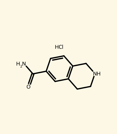 Cl.NC(=O)c1ccc2c(c1)CCNC2